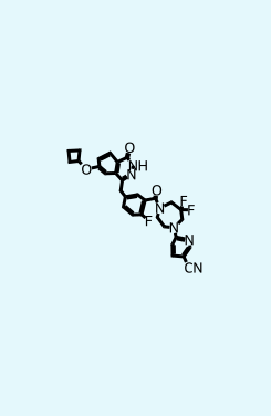 N#Cc1ccc(N2CCN(C(=O)c3cc(Cc4n[nH]c(=O)c5ccc(OC6CCC6)cc45)ccc3F)CC(F)(F)C2)nc1